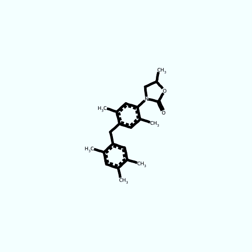 Cc1cc(C)c(Cc2cc(C)c(N3CC(C)OC3=O)cc2C)cc1C